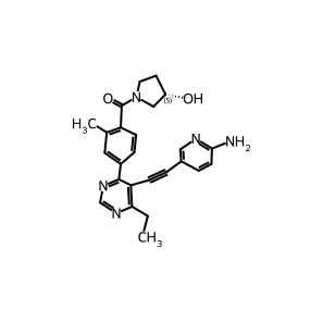 CCc1ncnc(-c2ccc(C(=O)N3CC[C@H](O)C3)c(C)c2)c1C#Cc1ccc(N)nc1